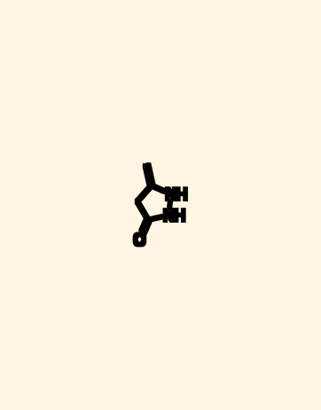 C=C1CC(=O)NN1